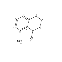 Cl.ClC1CCCc2ccccc21